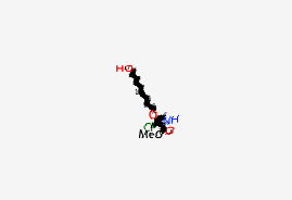 COC(=O)c1[nH]cc(OCCCCCCCCCO)c1Cl